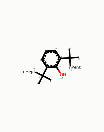 CCCCCCCC(C)(C)c1cccc(C(C)(C)CCCCC)c1O